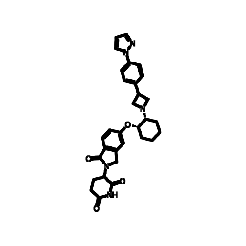 O=C1CCC(N2Cc3cc(O[C@H]4CCCC[C@H]4N4CC(c5ccc(-n6cccn6)cc5)C4)ccc3C2=O)C(=O)N1